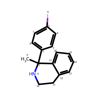 CC1(c2ccc(I)cc2)NCCc2ccccc21